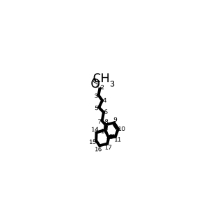 COCCCCCCc1cccc2c1CCCC2